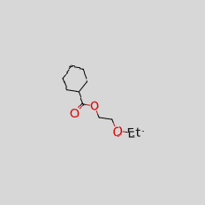 C[CH]OCCOC(=O)C1CCCCC1